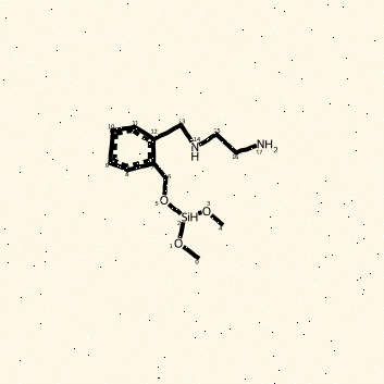 CO[SiH](OC)OCc1ccccc1CNCCN